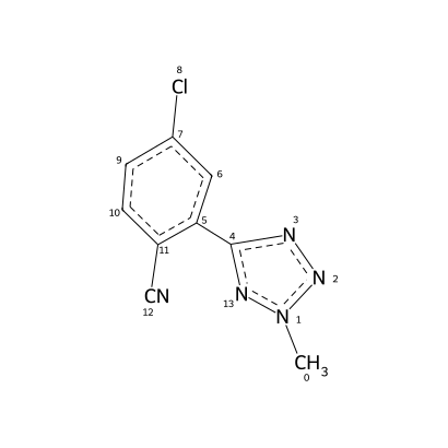 Cn1nnc(-c2cc(Cl)ccc2C#N)n1